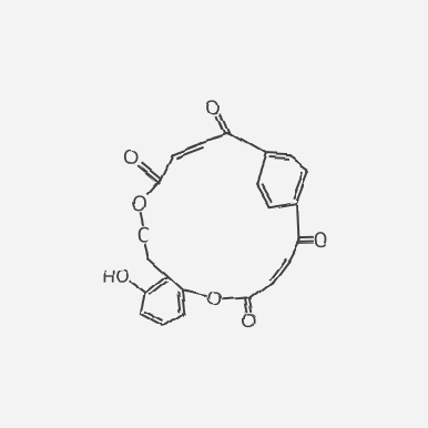 O=C1C=CC(=O)c2ccc(cc2)C(=O)C=CC(=O)Oc2cccc(O)c2CCO1